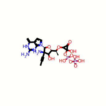 C=C1NC(N)=Nc2c1ccn2[C@@H]1O[C@H]([C@H](C)OC2C(=O)C2(O)OP(=O)(O)OP(=O)(O)O)C(O)C1(N)C#CC